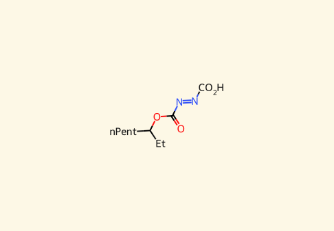 CCCCCC(CC)OC(=O)N=NC(=O)O